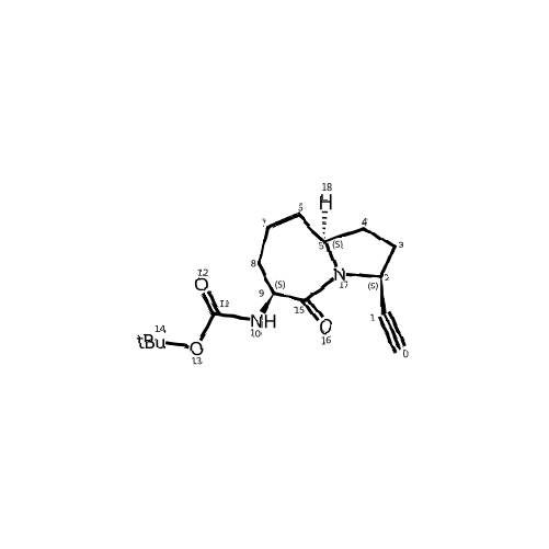 C#C[C@@H]1CC[C@@H]2CCC[C@H](NC(=O)OC(C)(C)C)C(=O)N21